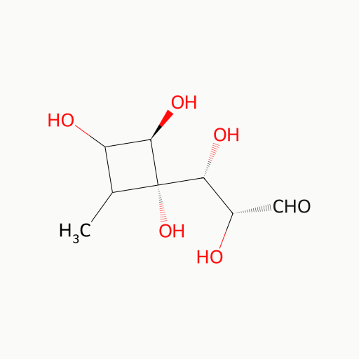 CC1C(O)[C@@H](O)[C@@]1(O)[C@H](O)[C@@H](O)C=O